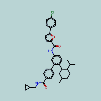 CC1CCC(C(C)C)C(c2ccc(NC(=O)c3ccc(-c4ccc(Cl)cc4)o3)cc2-c2ccc(C(=O)NCC3CC3)cc2)C1